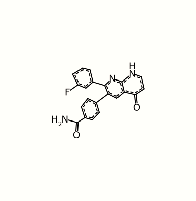 NC(=O)c1ccc(-c2cc3c(=O)cc[nH]c3nc2-c2cccc(F)c2)cc1